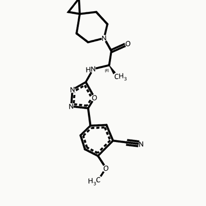 COc1ccc(-c2nnc(N[C@H](C)C(=O)N3CCC4(CC3)CC4)o2)cc1C#N